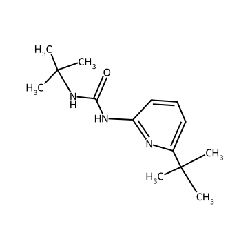 CC(C)(C)NC(=O)Nc1cccc(C(C)(C)C)n1